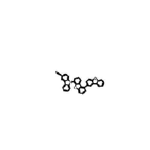 N#Cc1ccc2c(c1)c1ccccc1n2-c1cccc2c1oc1cccc(-c3ccc4oc5ccccc5c4c3)c12